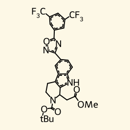 COC(=O)CC1c2[nH]c3ccc(-c4noc(-c5cc(C(F)(F)F)cc(C(F)(F)F)c5)n4)cc3c2CCN1C(=O)OC(C)(C)C